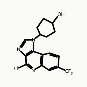 OC1CCC(n2cnc3c(Cl)nc4cc(C(F)(F)F)ccc4c32)CC1